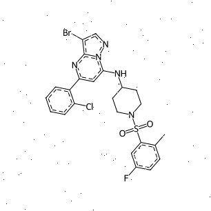 Cc1ccc(F)cc1S(=O)(=O)N1CCC(Nc2cc(-c3ccccc3Cl)nc3c(Br)cnn23)CC1